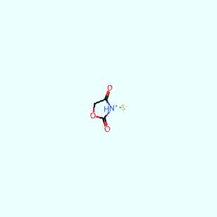 O=C1COC(=O)[NH+]1[S-]